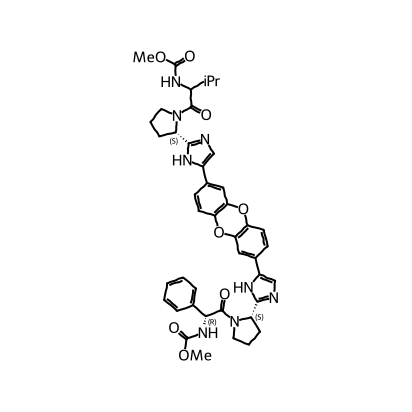 COC(=O)NC(C(=O)N1CCC[C@H]1c1ncc(-c2ccc3c(c2)Oc2ccc(-c4cnc([C@@H]5CCCN5C(=O)[C@H](NC(=O)OC)c5ccccc5)[nH]4)cc2O3)[nH]1)C(C)C